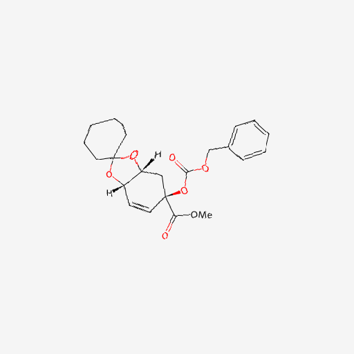 COC(=O)[C@]1(OC(=O)OCc2ccccc2)C=C[C@@H]2OC3(CCCCC3)O[C@@H]2C1